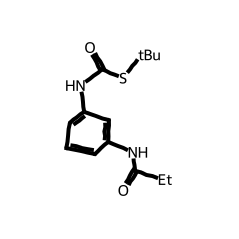 CCC(=O)Nc1cccc(NC(=O)SC(C)(C)C)c1